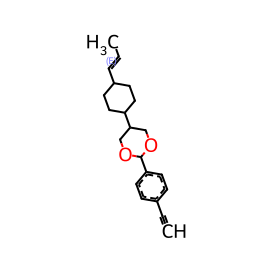 C#Cc1ccc(C2OCC(C3CCC(/C=C/C)CC3)CO2)cc1